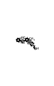 Cc1cc(C)c(S(=O)(=O)N2CCN(CCO)CC2)cc1-c1nnc(-c2ccccc2)[nH]1